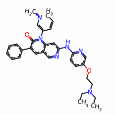 C=N/C=C(\C=C/C)n1c(=O)c(-c2ccccc2)cc2cnc(Nc3ccc(OCCN(CC)CC)cn3)cc21